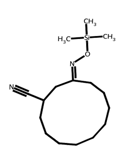 C[Si](C)(C)ON=C1CCCCCCCCCC(C#N)C1